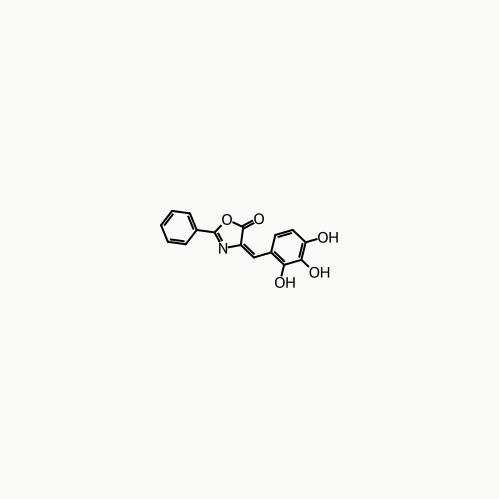 O=C1OC(c2ccccc2)=N/C1=C/c1ccc(O)c(O)c1O